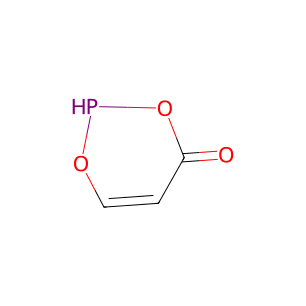 O=C1C=COPO1